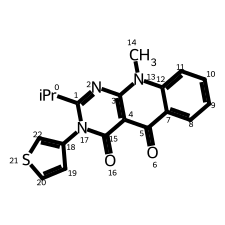 CC(C)c1nc2c(c(=O)c3ccccc3n2C)c(=O)n1-c1ccsc1